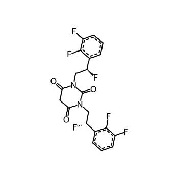 O=C1CC(=O)N(C[C@H](F)c2cccc(F)c2F)C(=O)N1C[C@@H](F)c1cccc(F)c1F